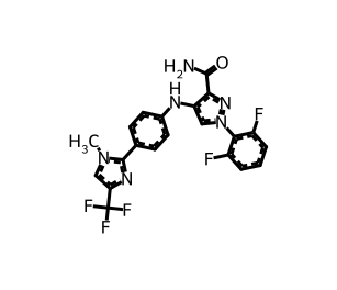 Cn1cc(C(F)(F)F)nc1-c1ccc(Nc2cn(-c3c(F)cccc3F)nc2C(N)=O)cc1